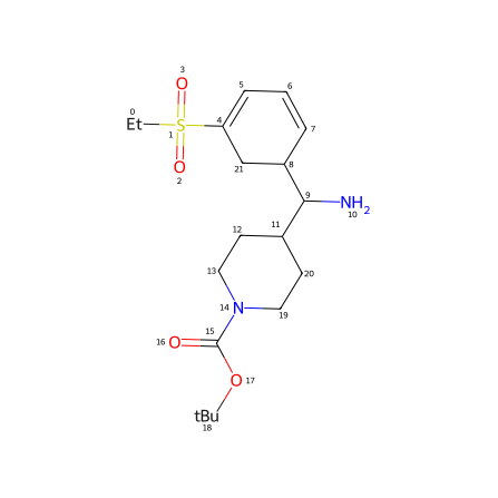 CCS(=O)(=O)C1=CC=CC(C(N)C2CCN(C(=O)OC(C)(C)C)CC2)C1